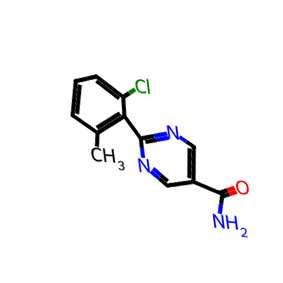 Cc1cccc(Cl)c1-c1ncc(C(N)=O)cn1